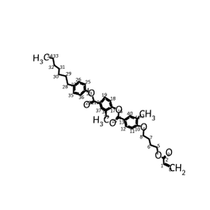 C=CC(=O)OCCCCOc1ccc(C(=O)Oc2ccc(C(=O)Oc3ccc(CCCCCCC)cc3)cc2C)cc1C